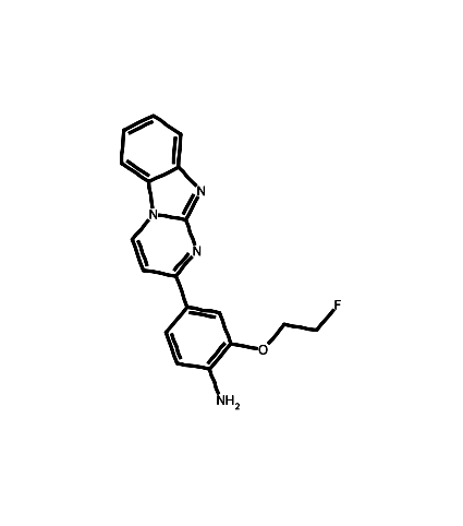 Nc1ccc(-c2ccn3c(n2)nc2ccccc23)cc1OCCF